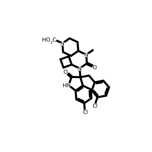 CN(C(=O)N(C1CCC1)C1(Cc2cccc(Cl)c2)C(=O)Nc2cc(Cl)ccc21)C1CCN(C(=O)O)CC1